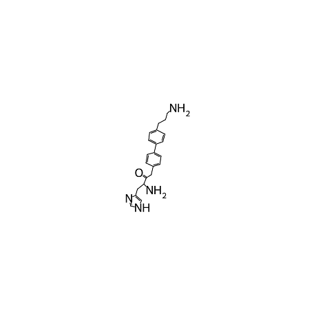 NCCCc1ccc(-c2ccc(CC(=O)C(N)Cc3c[nH]cn3)cc2)cc1